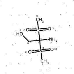 CS(=O)(=O)C(N)(CO)S(C)(=O)=O